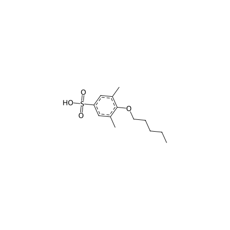 CCCCCOc1c(C)cc(S(=O)(=O)O)cc1C